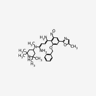 Cc1cnc(-c2cc(N=O)c(/C(N)=C/C=C(\N)N(C)C3CC(C)(C)NC(C)(C)C3)c(OCc3ccccc3)c2)o1